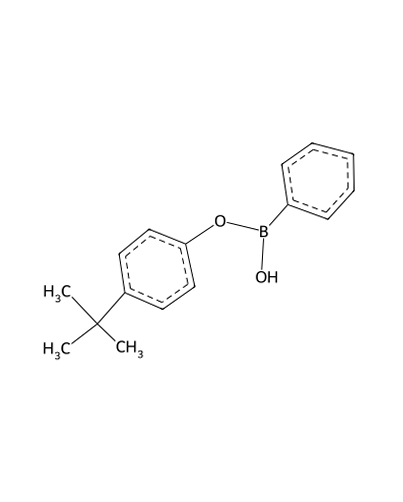 CC(C)(C)c1ccc(OB(O)c2ccccc2)cc1